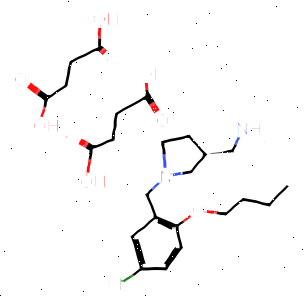 CCCCOc1ccc(Cl)cc1CN1CC[C@@H](CN)C1.O=C(O)CCC(=O)O.O=C(O)CCC(=O)O